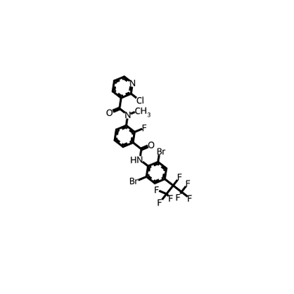 CN(C(=O)c1cccnc1Cl)c1cccc(C(=O)Nc2c(Br)cc(C(F)(C(F)(F)F)C(F)(F)F)cc2Br)c1F